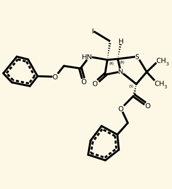 CC1(C)S[C@H]2N(C(=O)[C@@]2(CI)NC(=O)COc2ccccc2)[C@H]1C(=O)OCc1ccccc1